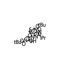 CC(C)c1cnn2c(N(C(=O)OC(C)(C)C)[C@@H](C)c3nc(Cl)cs3)cc(NC[C@H]3CCN(C(=O)OC(C)(C)C)C[C@@H]3O)nc12